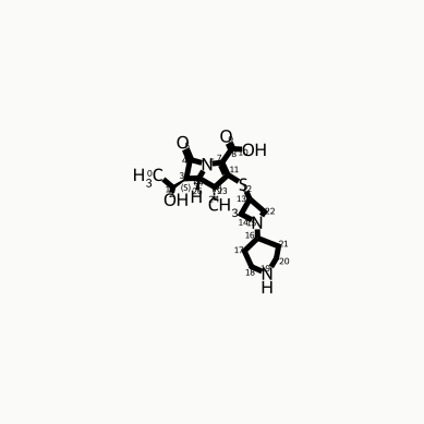 CC(O)[C@H]1C(=O)N2C(C(=O)O)=C(SC3CN(C4CCNCC4)C3)[C@H](C)[C@H]12